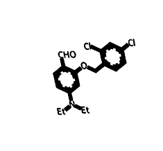 CCN(CC)c1ccc(C=O)c(OCc2ccc(Cl)cc2Cl)c1